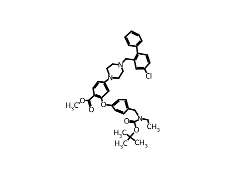 CCN(Cc1ccc(Oc2cc(N3CCN(Cc4cc(Cl)ccc4-c4ccccc4)CC3)ccc2C(=O)OC)cc1)C(=O)OC(C)(C)C